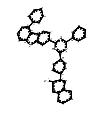 N#Cc1cc2ccccc2cc1-c1ccc(-c2nc(-c3ccccc3)nc(-c3ccc4c(c3)oc3cccc(-c5ccccc5)c34)n2)cc1